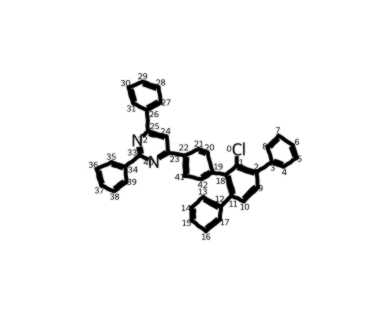 Clc1c(-c2ccccc2)ccc(-c2ccccc2)c1-c1ccc(-c2cc(-c3ccccc3)nc(-c3ccccc3)n2)cc1